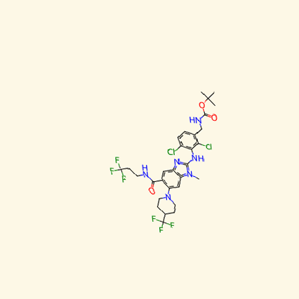 Cn1c(Nc2c(Cl)ccc(CNC(=O)OC(C)(C)C)c2Cl)nc2cc(C(=O)NCCC(F)(F)F)c(N3CCC(C(F)(F)F)CC3)cc21